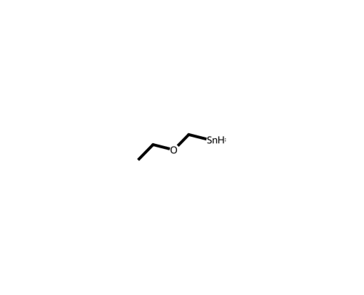 CCO[CH2][SnH]